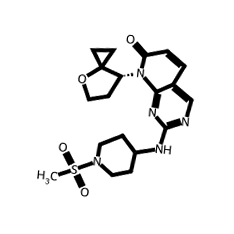 CS(=O)(=O)N1CCC(Nc2ncc3ccc(=O)n([C@@H]4CCOC45CC5)c3n2)CC1